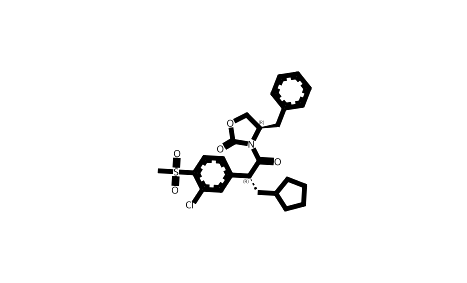 CS(=O)(=O)c1ccc([C@@H](CC2CCCC2)C(=O)N2C(=O)OC[C@H]2Cc2ccccc2)cc1Cl